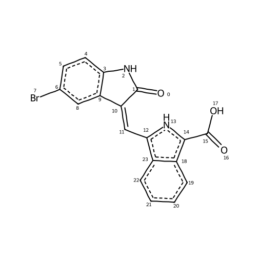 O=C1Nc2ccc(Br)cc2C1=Cc1[nH]c(C(=O)O)c2ccccc12